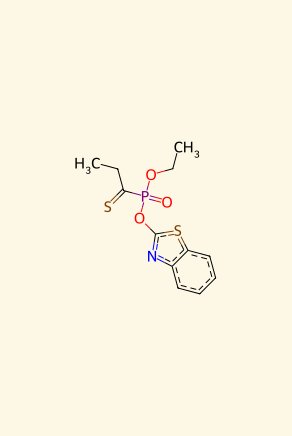 CCOP(=O)(Oc1nc2ccccc2s1)C(=S)CC